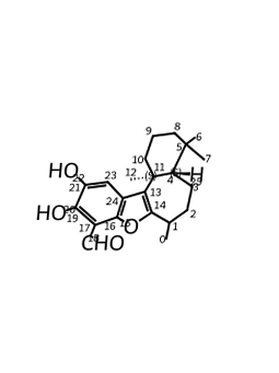 CC1CC[C@H]2C(C)(C)CCC[C@]2(C)c2c1oc1c(C=O)c(O)c(O)cc21